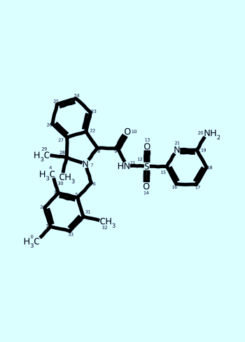 Cc1cc(C)c(CN2C(C(=O)NS(=O)(=O)c3cccc(N)n3)c3ccccc3C2(C)C)c(C)c1